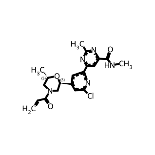 C=CC(=O)N1C[C@H](C)O[C@@H](c2cc(Cl)nc(-c3cc(C(=O)NC)nc(C)n3)c2)C1